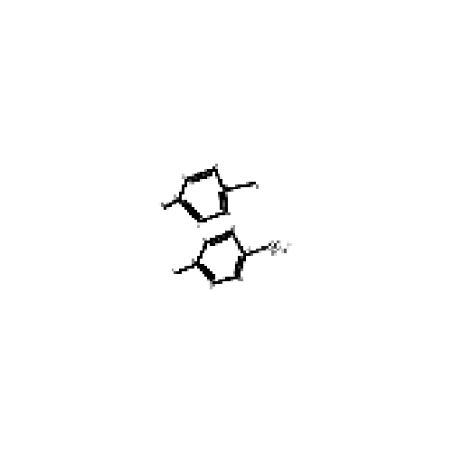 Cc1ccc(C)cc1.Cc1ccc(S(=O)(=O)O)cc1